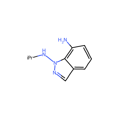 CC(C)Nn1ncc2cccc(N)c21